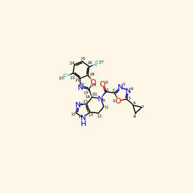 O=C(c1nnc(C2CC2)o1)N1CCc2[nH]cnc2[C@H]1c1nc2c(F)ccc(F)c2o1